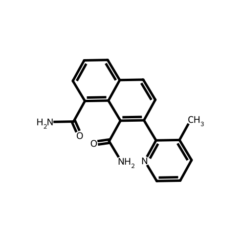 Cc1cccnc1-c1ccc2cccc(C(N)=O)c2c1C(N)=O